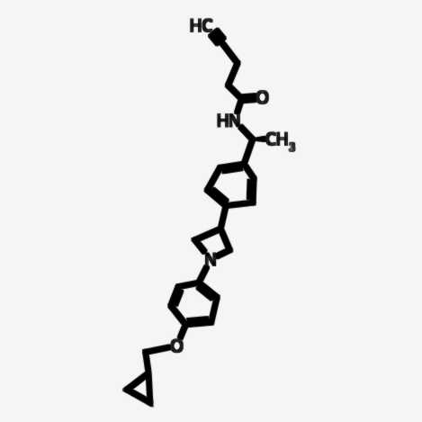 C#CCCC(=O)N[C@@H](C)c1ccc(C2CN(c3ccc(OCC4CC4)cc3)C2)cc1